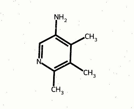 Cc1ncc(N)c(C)c1C